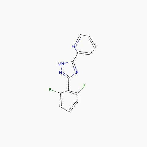 Fc1cccc(F)c1-c1n[nH]c(-c2ccccn2)n1